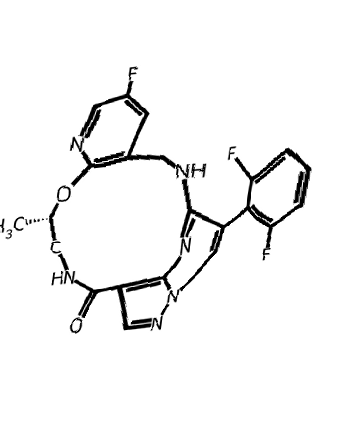 C[C@H]1CNC(=O)c2cnn3cc(-c4c(F)cccc4F)c(nc23)NCc2cc(F)cnc2O1